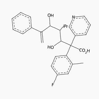 C=C(c1ccccc1)C(O)C(C(C)C)C(O)C(C(=O)O)(c1cccnc1)c1ccc(F)cc1C